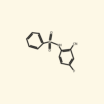 N#Cc1cc(F)[c]cc1NS(=O)(=O)c1ccccc1